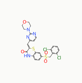 O=C1Nc2ccc(S(=O)(=O)Cc3c(Cl)cccc3Cl)cc2S/C1=C\c1ccnc(N2CCOCC2)n1